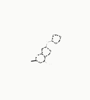 O=c1cc(O)c2ccc(Nc3ccccc3)cc2o1